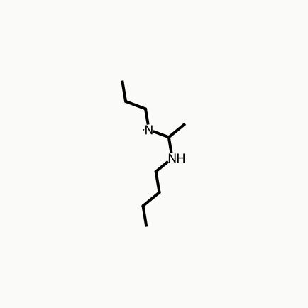 CCCCNC(C)[N]CCC